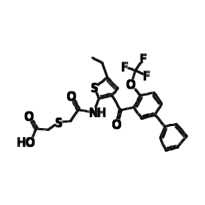 CCc1cc(C(=O)c2cc(-c3ccccc3)ccc2OC(F)(F)F)c(NC(=O)CSCC(=O)O)s1